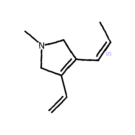 C=CC1=C(/C=C\C)CN(C)C1